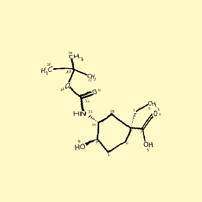 CC[C@]1(C(=O)O)CC[C@@H](O)[C@H](NC(=O)OC(C)(C)C)C1